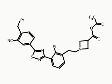 CCc1c(CCN2CC(C(=O)OC(=O)C(F)(F)F)C2)cccc1-c1nsc(-c2ccc(CC(C)C)c(C#N)c2)n1